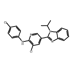 CC(C)n1c(-c2cnc(Nc3ccc(Cl)cc3)c(Cl)c2)nc2ccccc21